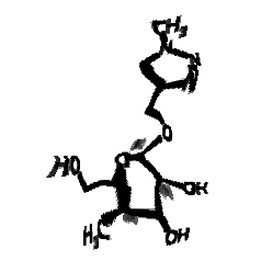 C[C@H]1C(CO)O[C@@H](OCc2cn(C)nn2)[C@@H](O)C1O